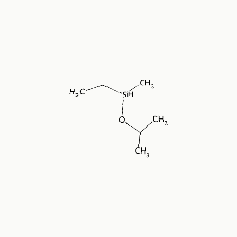 CC[SiH](C)OC(C)C